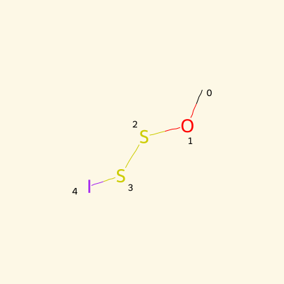 COSSI